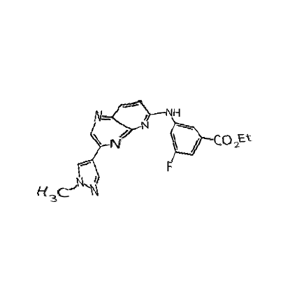 CCOC(=O)c1cc(F)cc(Nc2ccc3ncc(-c4cnn(C)c4)nc3n2)c1